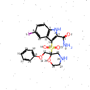 NC(=O)c1[nH]c2ccc(I)cc2c1S(=O)(=O)C1(COc2ccccc2)CNCCO1